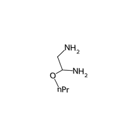 CCCOC(N)CN